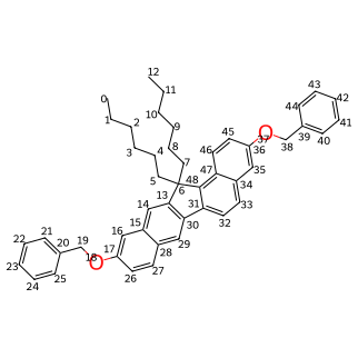 CCCCCCC1(CCCCCC)c2cc3cc(OCc4ccccc4)ccc3cc2-c2ccc3cc(OCc4ccccc4)ccc3c21